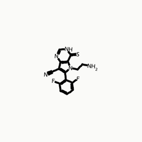 N#Cc1c(-c2c(F)cccc2F)n(CCN)c2c(=S)[nH]cnc12